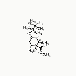 COC(=O)C1([SiH3])CCC(O[Si](C)(C)C(C)(C)C)CC1C